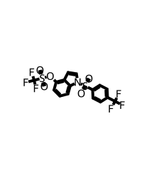 O=S(=O)(c1ccc(C(F)(F)F)cc1)n1ccc2c(OS(=O)(=O)C(F)(F)F)cccc21